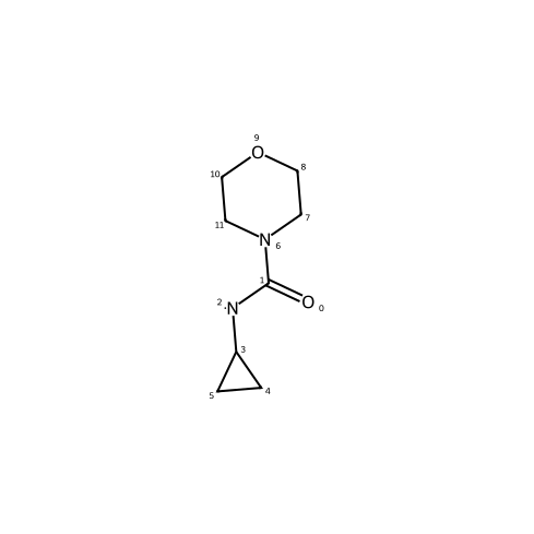 O=C([N]C1CC1)N1CCOCC1